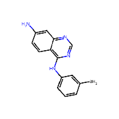 Bc1cccc(Nc2ncnc3cc(N)ccc23)c1